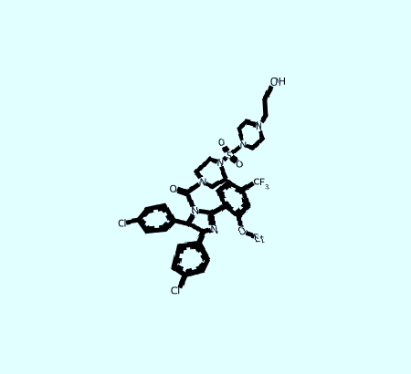 CCOc1cc(C(F)(F)F)ccc1C1=NC(c2ccc(Cl)cc2)C(c2ccc(Cl)cc2)N1C(=O)N1CCN(S(=O)(=O)N2CCN(CCO)CC2)CC1